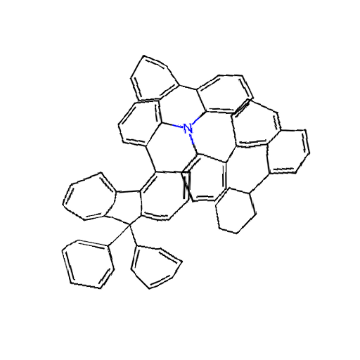 c1ccc(-c2ccccc2N(c2ccccc2-c2cccc3c2-c2ccccc2C3(c2ccccc2)c2ccccc2)c2ccccc2-c2cccc3cccc(C4CCCCC4)c23)cc1